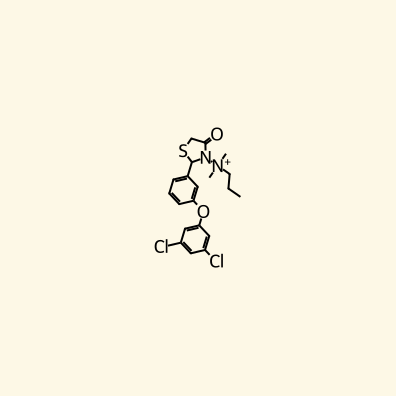 CCC[N+](C)(C)N1C(=O)CSC1c1cccc(Oc2cc(Cl)cc(Cl)c2)c1